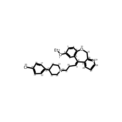 CCOc1ccc2c(c1)C(=CCCN1CCC(c3ccc(Cl)cc3)CC1)c1cccnc1CO2